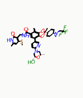 CSc1cc(C)[nH]c(=O)c1CNC(=O)c1cc(-c2ccc(N3C[C@@H](C)O[C@@H](C)C3)nc2)c2c(c1C)OC(C)([C@H]1CC[C@H](N(C)CC(F)(F)F)CC1)O2.Cl